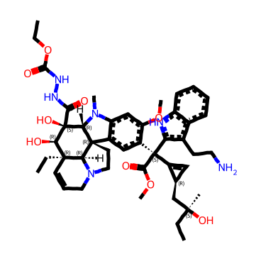 CCOC(=O)NNC(=O)[C@@]1(O)[C@H](O)[C@]2(CC)C=CCN3CC[C@@]4(c5cc([C@@](C(=O)OC)(C6=C[C@H]6C[C@@](C)(O)CC)c6[nH]c7ccccc7c6CCN)c(OC)cc5N(C)[C@@H]14)[C@@H]32